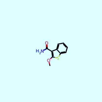 COc1sc2ccccc2c1C(N)=O